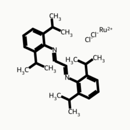 CC(C)c1cccc(C(C)C)c1N=CC=Nc1c(C(C)C)cccc1C(C)C.[Cl-].[Cl-].[Ru+2]